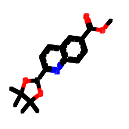 COC(=O)c1ccc2nc(B3OC(C)(C)C(C)(C)O3)ccc2c1